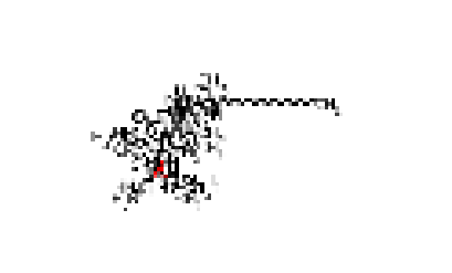 CCCCCCCCCCCCCCCC(=O)N[C@@H](CC(C)C)C(=O)N[C@@H](C)C(=O)N[C@H](C(=O)N[C@H](C(=O)N[C@@H](CCCNC(=N)N)C(=O)N1CCC[C@H]1C(=O)N[C@H](C(=O)N[C@@H](C)C(=O)N[C@@H](CC(N)=O)C(=O)N[C@@H](C)C(=O)N[C@@H](CCCNC(=N)N)C(=O)N[C@@H](CC(C)C)C(=O)NC)C(C)C)C(C)C)[C@@H](C)CC